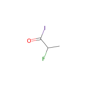 CC(F)C(=O)I